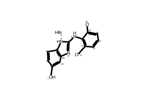 Br.Oc1ccc2[nH]c(Nc3c(Cl)cccc3Cl)nc2c1